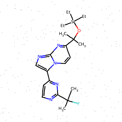 CC[Si](CC)(CC)OC(C)(C)c1ccn2c(-c3ccnc(C(C)(C)F)n3)cnc2n1